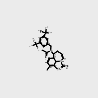 CC(=O)N(Cc1cc(C(F)(F)F)cc(C(F)(F)F)c1)C1CC=CN(C(=O)O)C2C(C)=C(C)C=CC21